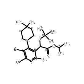 Cc1nc(N)c(Br)c(N2CCC(C)(C)CC2)c1C(OC(C)(C)C)C(=O)OC(C)C